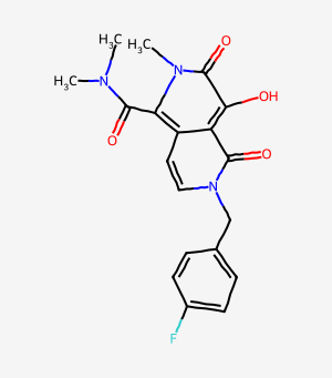 CN(C)C(=O)c1c2ccn(Cc3ccc(F)cc3)c(=O)c2c(O)c(=O)n1C